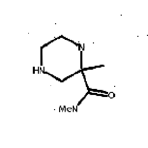 CNC(=O)C1(C)CNCC[N]1